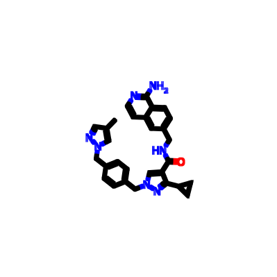 Cc1cnn(Cc2ccc(Cn3cc(C(=O)NCc4ccc5c(N)nccc5c4)c(C4CC4)n3)cc2)c1